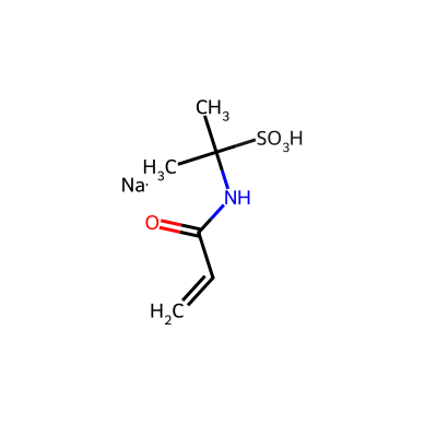 C=CC(=O)NC(C)(C)S(=O)(=O)O.[Na]